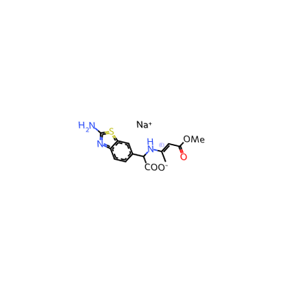 COC(=O)/C=C(\C)NC(C(=O)[O-])c1ccc2nc(N)sc2c1.[Na+]